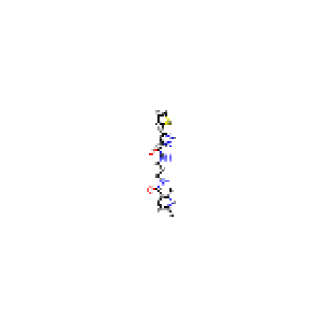 Cc1ccc(C(=O)NCCCNC(=O)c2cc(-c3cccs3)[nH]n2)c(C)n1